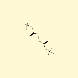 CC(C)(C)NC(=S)NNC(=S)NC(C)(C)C